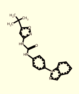 CC(C)(C)c1cc(NC(=O)Nc2ccc(-n3ncc4ccccc43)cc2)no1